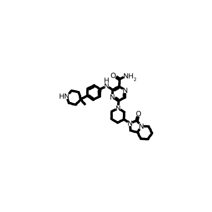 CC1(c2ccc(Nc3nc(N4CCCC(N5CC6CCCCN6C5=O)C4)cnc3C(N)=O)cc2)CCNCC1